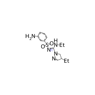 CCN/C(=N\S(=O)(=O)c1cccc(N)c1)N1CC(CC)C=N1